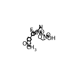 CN1Cc2cc(-c3ccc(C[C@@H](C#N)NC(=O)C4CN(C(=O)O)CCCO4)c(F)c3)ccc2C1=O